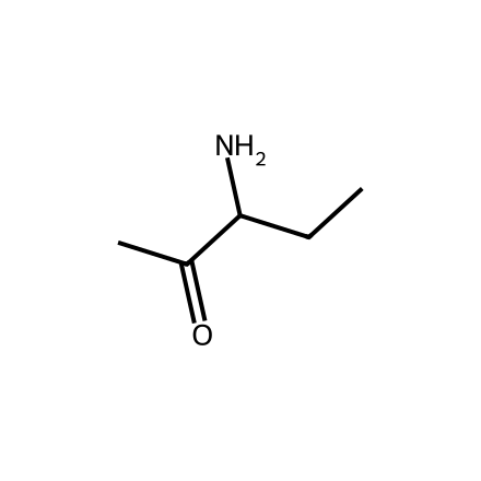 CCC(N)C(C)=O